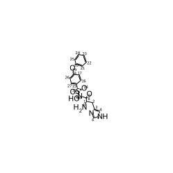 N[C@H](Cc1c[nH]cn1)C(=O)N(O)S(=O)(=O)c1ccc(Oc2ccccc2)cc1